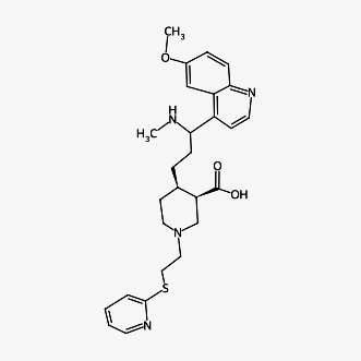 CNC(CC[C@@H]1CCN(CCSc2ccccn2)C[C@@H]1C(=O)O)c1ccnc2ccc(OC)cc12